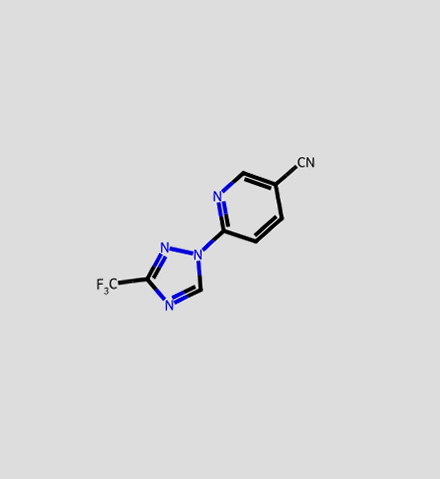 N#Cc1ccc(-n2cnc(C(F)(F)F)n2)nc1